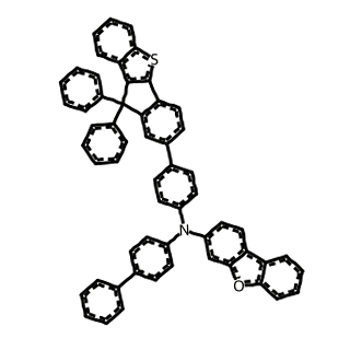 c1ccc(-c2ccc(N(c3ccc(-c4ccc5c(c4)C(c4ccccc4)(c4ccccc4)c4c-5sc5ccccc45)cc3)c3ccc4c(c3)oc3ccccc34)cc2)cc1